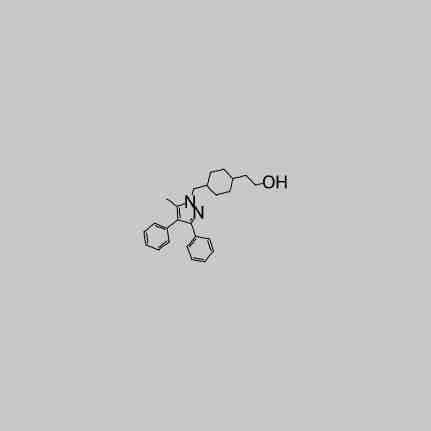 Cc1c(-c2ccccc2)c(-c2ccccc2)nn1CC1CCC(CCO)CC1